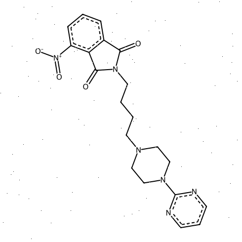 O=C1c2cccc([N+](=O)[O-])c2C(=O)N1CCCCN1CCN(c2ncccn2)CC1